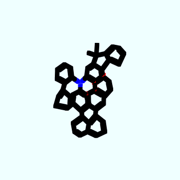 CC1(C)c2ccccc2-c2ccc(N(c3ccccc3-c3ccccc3)c3ccc(-c4cccc5cccc(-c6ccccc6)c45)cc3-c3ccccc3)cc21